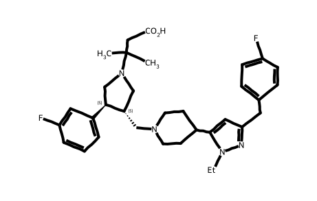 CCn1nc(Cc2ccc(F)cc2)cc1C1CCN(C[C@H]2CN(C(C)(C)CC(=O)O)C[C@@H]2c2cccc(F)c2)CC1